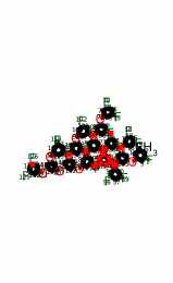 Cc1cc(F)cc(Oc2cc(Oc3cc(F)cc(F)c3)cc(Oc3cc(Oc4cc(F)cc(F)c4)cc(Oc4cc(Oc5cc(Oc6cc(F)cc(Oc7cc(F)cc(F)c7)c6)cc(Oc6cc(F)cc(Oc7cc(F)cc(F)c7)c6)c5)cc(Oc5cc(Oc6cc(F)cc(Oc7cc(F)cc(F)c7)c6)cc(Oc6cc(Oc7cc(F)cc(F)c7)cc(Oc7cc(F)cc(F)c7)c6)c5)c4)c3)c2)c1